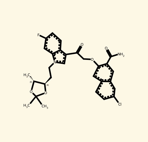 C[C@H]1OC(C)(C)O[C@@H]1CCn1cc(C(=O)COc2cc3ccc(Cl)cc3cc2C(N)=O)c2ccc(F)cc21